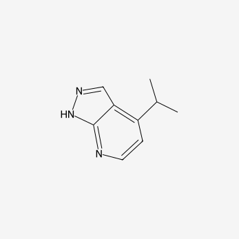 CC(C)c1ccnc2[nH]ncc12